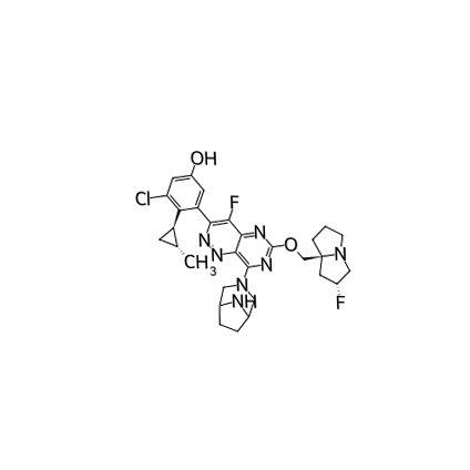 C[C@@H]1C[C@H]1c1c(Cl)cc(O)cc1-c1nnc2c(N3CC4CCC(C3)N4)nc(OC[C@@]34CCCN3C[C@H](F)C4)nc2c1F